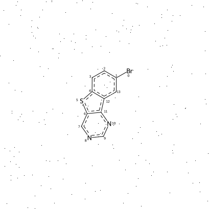 Brc1ccc2sc3cncnc3c2c1